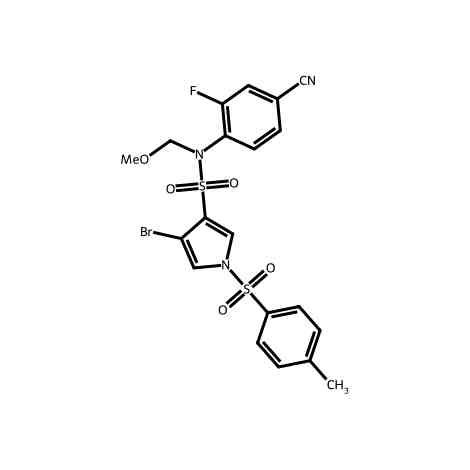 COCN(c1ccc(C#N)cc1F)S(=O)(=O)c1cn(S(=O)(=O)c2ccc(C)cc2)cc1Br